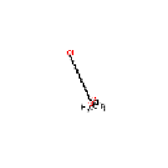 CC(C)(C)OC(=O)CCCCCCCCCCCCCCCCCCCCCO